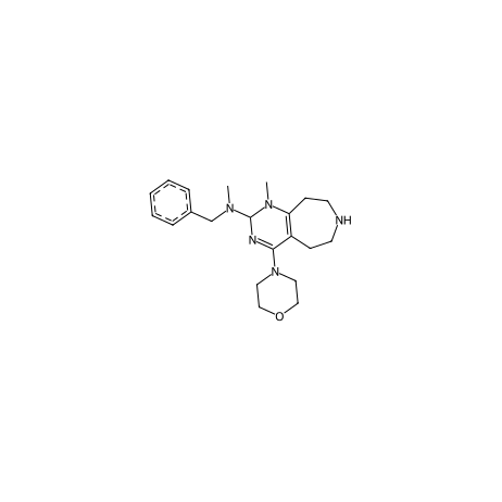 CN(Cc1ccccc1)C1N=C(N2CCOCC2)C2=C(CCNCC2)N1C